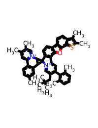 Cc1ccc2c(c1)C1C([n+]3cc(C)c(C)cc3-2)C12c1ccc3c(oc4c3ccc3c(C)c(C)sc34)c1-c1cc(-c3c(C)cccc3C)c(CC(C)(C)C)c[n+]12